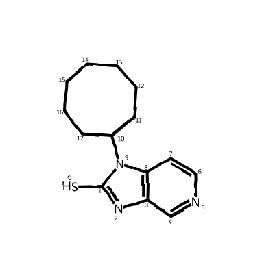 Sc1nc2cnccc2n1C1CCCCCCC1